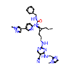 CCCC1C(=[N+](C(=O)NCc2ccccc2)c2ccc(-c3cnn(C)c3)cn2)C1CCCNc1ncc(C#N)c(NCc2nccn2C)n1